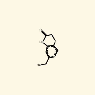 O=C1CSc2cnc(CO)cc2N1